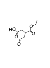 CCOC(=O)C(CC=O)CC(=O)O